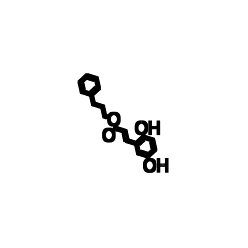 O=C(/C=C/c1cc(O)ccc1O)OCCCc1ccccc1